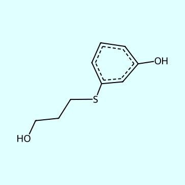 OCCCSc1cccc(O)c1